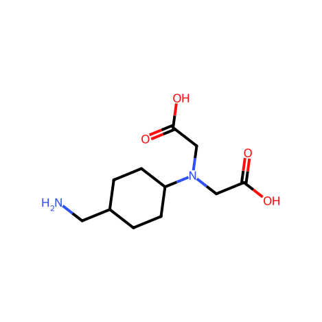 NCC1CCC(N(CC(=O)O)CC(=O)O)CC1